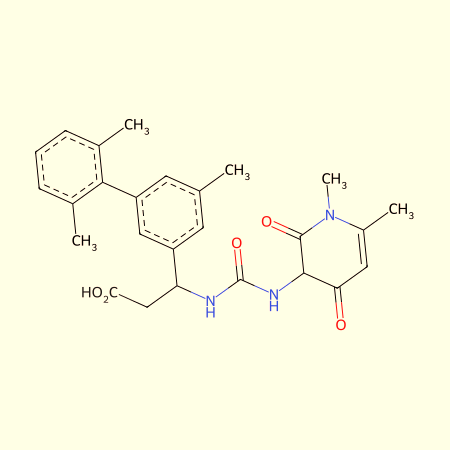 CC1=CC(=O)C(NC(=O)NC(CC(=O)O)c2cc(C)cc(-c3c(C)cccc3C)c2)C(=O)N1C